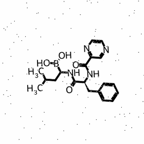 CC(C)CC(NC(=O)[C@H](Cc1ccccc1)NC(=O)c1cnccn1)B(O)O